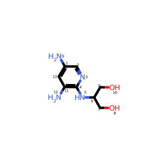 Nc1cnc(NC(CO)CO)c(N)c1